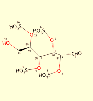 O=C[C@H](OS(=O)(=O)O)[C@@H](OS(=O)(=O)O)[C@H](OS(=O)(=O)O)[C@@H](CO)OS(=O)(=O)O